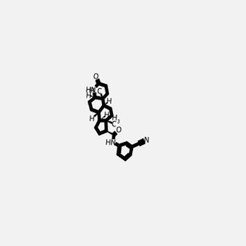 C[C@]12CCC(=O)N[C@@H]1CC[C@@H]1[C@@H]2CC[C@]2(C)[C@@H](C(=O)Nc3cccc(C#N)c3)CC[C@@H]12